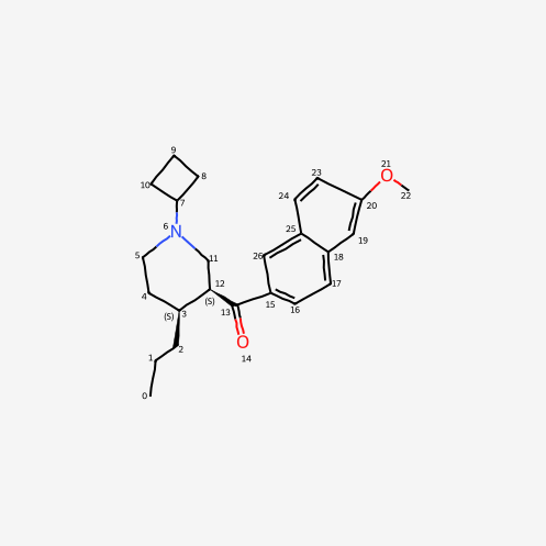 CCC[C@H]1CCN(C2CCC2)C[C@H]1C(=O)c1ccc2cc(OC)ccc2c1